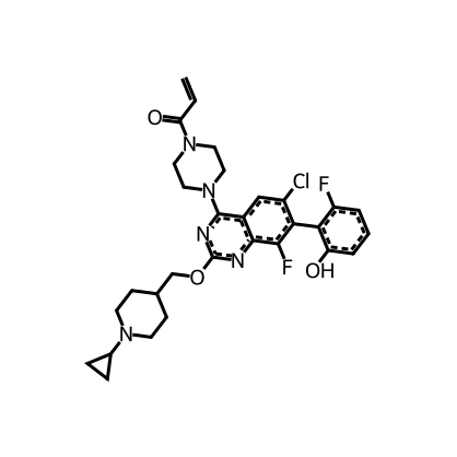 C=CC(=O)N1CCN(c2nc(OCC3CCN(C4CC4)CC3)nc3c(F)c(-c4c(O)cccc4F)c(Cl)cc23)CC1